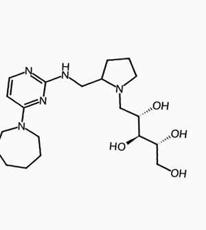 OC[C@@H](O)[C@@H](O)[C@@H](O)CN1CCCC1CNc1nccc(N2CCCCCC2)n1